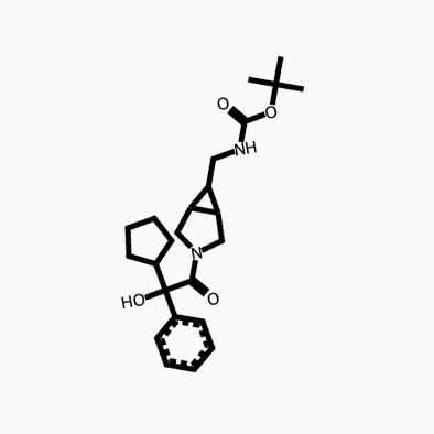 CC(C)(C)OC(=O)NCC1C2CN(C(=O)C(O)(c3ccccc3)C3CCCC3)CC12